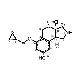 C[C@]12CNC[C@H]1c1cccc(OCC3CC3)c1CO2.Cl